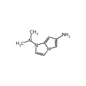 CN(C)n1ccn2cc(N)cc12